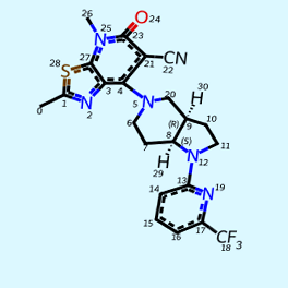 Cc1nc2c(N3CC[C@H]4[C@H](CCN4c4cccc(C(F)(F)F)n4)C3)c(C#N)c(=O)n(C)c2s1